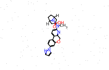 CN(c1ccc2c(n1)COc1cc(-n3cccn3)ccc1-2)C1C[C@H]2CC[C@@H](C1)N2C(=O)O